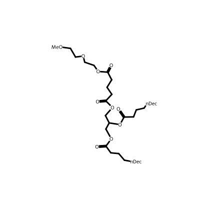 CCCCCCCCCCCCCC(=O)OCC(COC(=O)CCCC(=O)OCCOCCOC)OC(=O)CCCCCCCCCCCCC